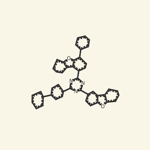 c1ccc(-c2ccc(-c3nc(-c4ccc5oc6ccccc6c5c4)nc(-c4ccc(-c5ccccc5)c5oc6ccccc6c45)n3)cc2)cc1